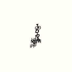 CC(C)Oc1cncc(Nc2c(-c3ccc(-c4ccc(OC(=O)C5CC5)cc4)cn3)cnn2C)n1